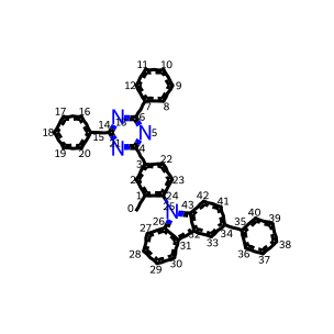 Cc1cc(-c2nc(-c3ccccc3)nc(-c3ccccc3)n2)ccc1-n1c2ccccc2c2cc(-c3ccccc3)ccc21